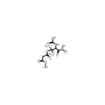 CCN(CC)C(=O)C(NC(=O)C(C)C)C(C)(C)SC(=O)CC(=O)OC(C)C